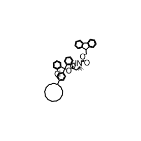 C[C@H](CC(=O)OC(c1ccccc1)(c1ccc(C2CCCCCCCCCCCC2)cc1)c1ccccc1Cl)NC(=O)OCC1c2ccccc2-c2ccccc21